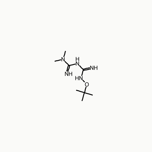 CN(C)C(=N)NC(=N)NOC(C)(C)C